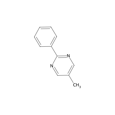 Cc1cnc(-c2ccccc2)nc1